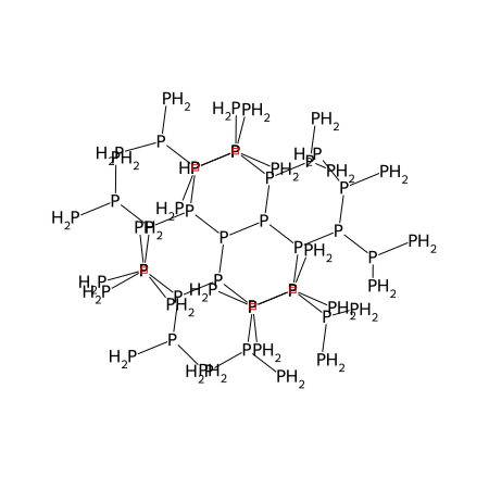 PPP(P)P(P(P)P)P(P(P(P(P)P)P(P)P)P(P(P)P)P(P)P)P(P(P(P(P)P)P(P)P)P(P(P)P)P(P)P)P(P(P(P)P)P(P)P)P(P(P)P)P(P)P